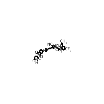 CC#Cc1cc(C(F)(F)F)ccc1NC(=O)C(C)(C)n1cc(C#CC2CN(c3ccc4c(c3)C(=O)N(C3CCC(=O)NC3=O)C4=O)C2)c(C#N)n1